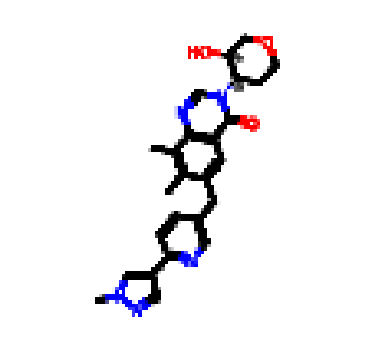 Cc1c(Cc2ccc(-c3cnn(C)c3)nc2)cc2c(=O)n([C@H]3CCOC[C@@H]3O)cnc2c1C